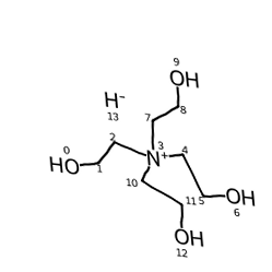 OCC[N+](CCO)(CCO)CCO.[H-]